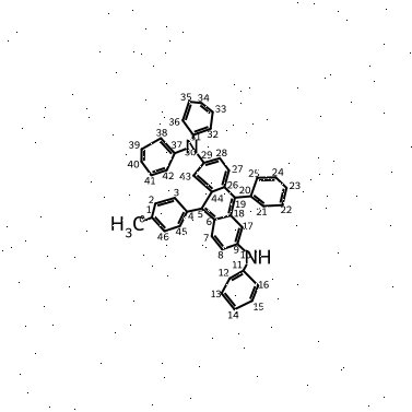 Cc1ccc(-c2c3ccc(Nc4ccccc4)cc3c(-c3ccccc3)c3ccc(N(c4ccccc4)c4ccccc4)cc23)cc1